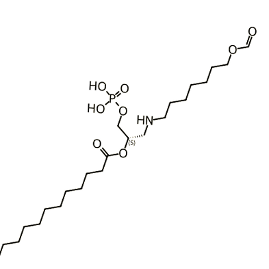 CCCCCCCCCCCC(=O)O[C@@H](CNCCCCCCCOC=O)COP(=O)(O)O